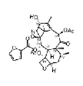 CC(=O)O[C@H]1C(=O)[C@@]2(C)[C@H]([C@H](OC(=O)c3ccco3)[C@]3(O)C[C@H](O)C(C)=C1C3(C)C)[C@]1(OC(C)=O)CO[C@@H]1C[C@@H]2C